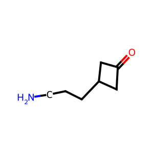 NCCCC1CC(=O)C1